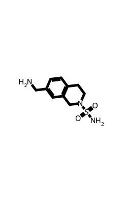 NCc1ccc2c(c1)CN(S(N)(=O)=O)CC2